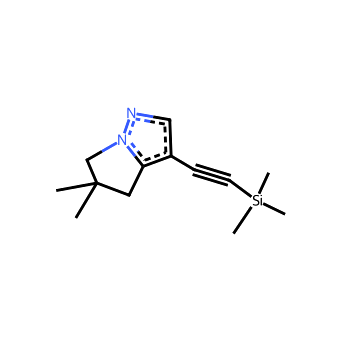 CC1(C)Cc2c(C#C[Si](C)(C)C)cnn2C1